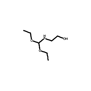 CCOC(OCC)PCCO